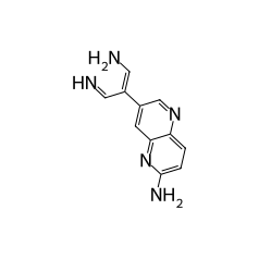 N=C/C(=C\N)c1cnc2ccc(N)nc2c1